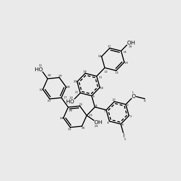 COc1cc(I)cc(C(c2cc(C3C=CC(O)=CC3)ccc2O)C2(O)C=C(C3=CCC(O)C=C3)C=CC2)c1